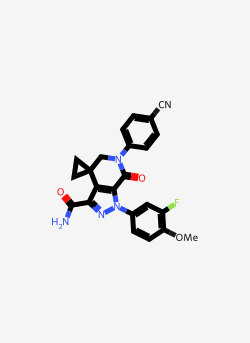 COc1ccc(-n2nc(C(N)=O)c3c2C(=O)N(c2ccc(C#N)cc2)CC32CC2)cc1F